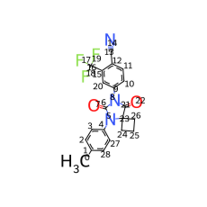 Cc1ccc(N2C(=O)N(c3ccc(C#N)c(C(F)(F)F)c3)C(=O)C23CCC3)cc1